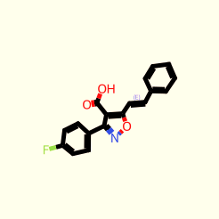 O=C(O)c1c(-c2ccc(F)cc2)noc1/C=C/c1ccccc1